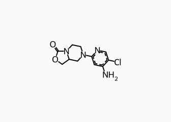 Nc1cc(N2CCN3C(=O)OCC3C2)ncc1Cl